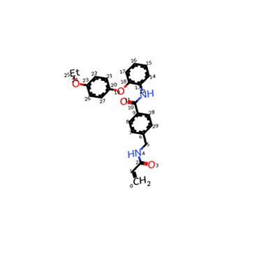 C=CC(=O)NCc1ccc(C(=O)Nc2ccccc2Oc2ccc(OCC)cc2)cc1